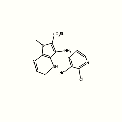 CCOC(=O)c1c(N)c2c(n1C)N=CCN2.N#Cc1nccnc1Cl